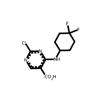 O=C(O)c1cnc(Cl)nc1NC1CCC(F)(F)CC1